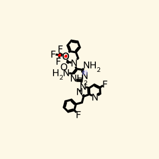 C=C(/N=C(/N)C(=C(N)N)N(Cc1ccccc1OC(F)(F)F)C(=O)OC)n1nc(Cc2ccccc2F)c2ncc(F)cc21